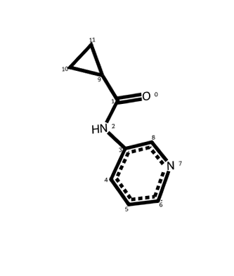 O=C(Nc1cc[c]nc1)C1CC1